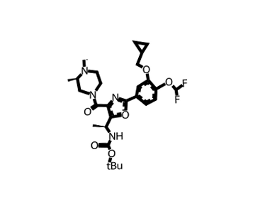 [CH2]N1CCN(C(=O)c2nc(-c3ccc(OC(F)F)c(OCC4CC4)c3)oc2[C@H](C)NC(=O)OC(C)(C)C)C[C@H]1C